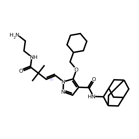 CC(C)(/C=C/n1ncc(C(=O)NC2C3CC4CC(C3)CC2C4)c1OCC1CCCCC1)C(=O)NCCN